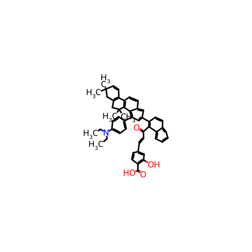 CCN(CC)c1ccc(-c2cc(-c3ccc4ccccc4c3C(=O)/C=C/c3ccc(C(=O)O)c(O)c3)cc3ccc4c(c23)C(C)(C)CC2=C4C=CC(C)(C)C2)cc1